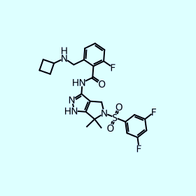 CC1(C)c2[nH]nc(NC(=O)c3c(F)cccc3CNC3CCC3)c2CN1S(=O)(=O)c1cc(F)cc(F)c1